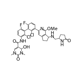 COc1nc(-c2ccc(F)c(-c3c(F)ccc(NC(=O)C4=CN(C)C(=O)N(C)C4O)c3Cl)c2Cl)cc2c1C(NCC1CCC(=O)N1)CC2